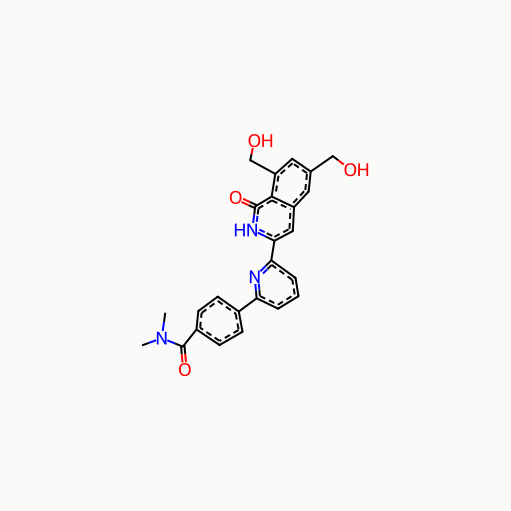 CN(C)C(=O)c1ccc(-c2cccc(-c3cc4cc(CO)cc(CO)c4c(=O)[nH]3)n2)cc1